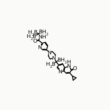 BC(B)(B)NC(=O)c1ccc(N2CCN(C(B)(B)c3cnc4cc(C5CC5)c(=O)[nH]c4c3)CC2)cn1